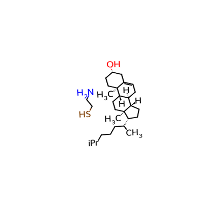 CC(C)CCCC(C)[C@H]1CC[C@H]2[C@@H]3CC=C4C[C@@H](O)CC[C@]4(C)[C@H]3CC[C@]12C.NCCS